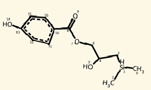 C[SiH](C)CC(O)COC(=O)c1ccc(O)cc1